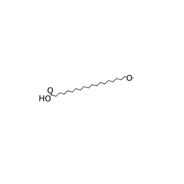 [O]CCCCCCCCCCCCCCCCCCC(=O)O